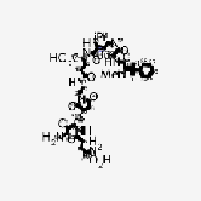 CN[C@H](C(=O)N[C@H](C(=O)N(C)[C@H](/C=C(\C)C(=O)N[C@H](CCC(=O)NCCN1C(=O)CC(SC[C@H](NC(=O)CC[C@H](N)C(=O)O)C(=O)CN)C1=O)C(=O)O)C(C)C)C(C)(C)C)C(C)(C)c1ccccc1